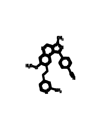 COc1cc2ncc3c(c(-c4ccc(C#N)cc4)nn3C)c2cc1CCc1ccnc(N)c1